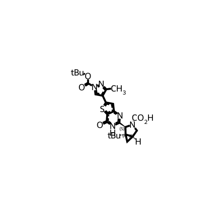 Cc1nn(C(=O)OC(C)(C)C)cc1-c1cc2nc([C@H]3N(C(=O)O)C[C@H]4C[C@]43C(C)(C)C)[nH]c(=O)c2s1